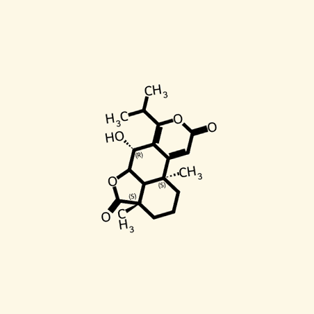 CC(C)c1oc(=O)cc2c1[C@@H](O)C1OC(=O)[C@@]3(C)CCC[C@@]2(C)C13